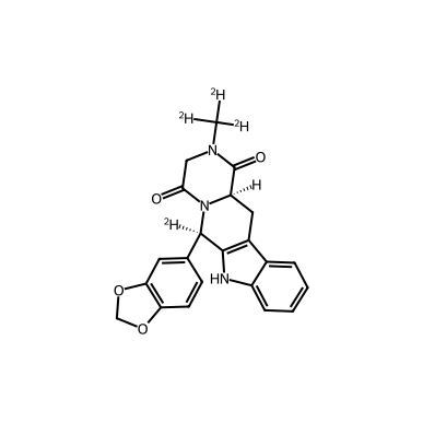 [2H]C([2H])([2H])N1CC(=O)N2[C@H](Cc3c([nH]c4ccccc34)[C@@]2([2H])c2ccc3c(c2)OCO3)C1=O